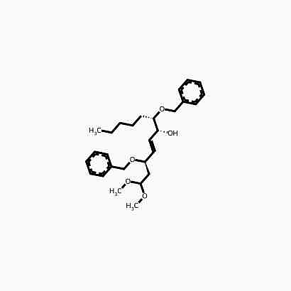 CCCCC[C@H](OCc1ccccc1)[C@H](O)C=C[C@@H](CC(OC)OC)OCc1ccccc1